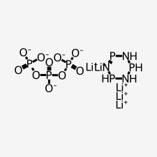 O=P([O-])([O-])OP(=O)([O-])OP(=O)([O-])[O-].[Li+].[Li+].[Li+].[Li+].[Li+].n1p[nH][pH][nH][pH]1